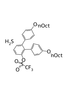 CCCCCCCCOc1ccc(-c2cccc(OS(=O)(=O)C(F)(F)F)c2-c2ccc(OCCCCCCCC)cc2)cc1.S